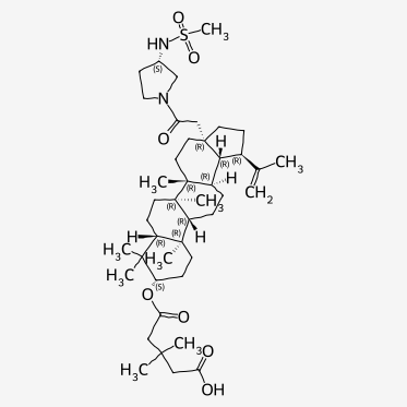 C=C(C)[C@@H]1CC[C@]2(CC(=O)N3CC[C@H](NS(C)(=O)=O)C3)CC[C@]3(C)[C@H](CC[C@@H]4[C@@]5(C)CC[C@H](OC(=O)CC(C)(C)CC(=O)O)C(C)(C)[C@@H]5CC[C@]43C)[C@@H]12